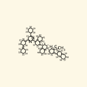 CC1(C)c2cc(-c3ccc(-c4ccc(-c5nc(-c6ccccc6)cc(-c6cccc(-c7ccccc7)c6)n5)c5ccccc45)c4ccccc34)ccc2-c2cc3ccccc3cc21